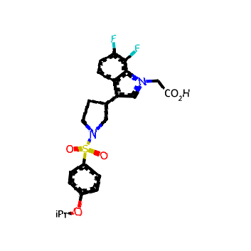 CC(C)Oc1ccc(S(=O)(=O)N2CCC(c3cn(CC(=O)O)c4c(F)c(F)ccc34)C2)cc1